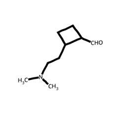 CN(C)CCC1CCC1C=O